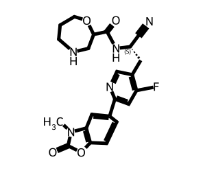 Cn1c(=O)oc2ccc(-c3cc(F)c(C[C@@H](C#N)NC(=O)C4CNCCCO4)cn3)cc21